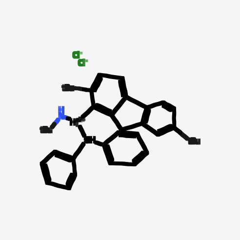 CC(C)(C)[NH][Hf+2]([c]1c(C(C)(C)C)ccc2c1Cc1cc(C(C)(C)C)ccc1-2)[SiH](c1ccccc1)c1ccccc1.[Cl-].[Cl-]